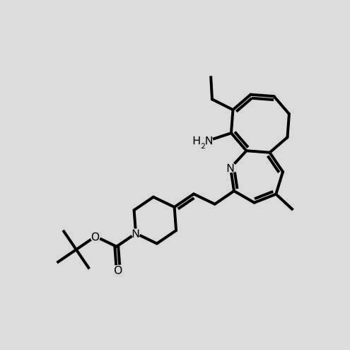 CCC1=C=CCCC2=CC(C)=CC(CC=C3CCN(C(=O)OC(C)(C)C)CC3)=N/C2=C/1N